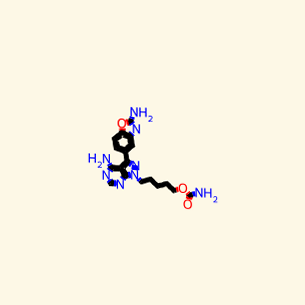 NC(=O)OCCCCCn1nc(-c2ccc3oc(N)nc3c2)c2c(N)ncnc21